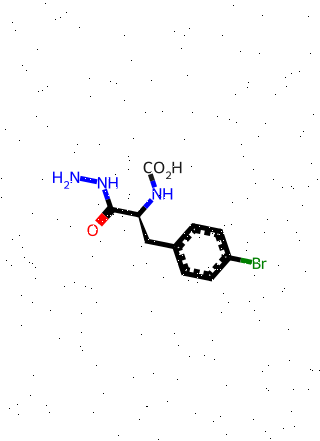 NNC(=O)[C@H](Cc1ccc(Br)cc1)NC(=O)O